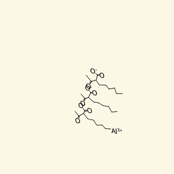 CCCCCCC(C(C)=O)C(=O)[O-].CCCCCCC(C(C)=O)C(=O)[O-].CCCCCCC(C(C)=O)C(=O)[O-].[Al+3]